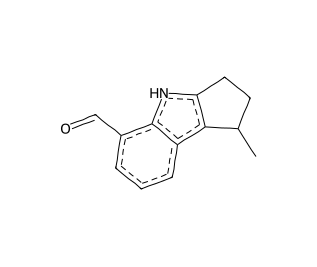 CC1CCc2[nH]c3c(C=O)cccc3c21